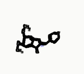 COc1cc2c(cc1OC)C(=O)/C(=C/c1ccncc1)C2